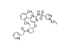 Cc1cccc(C)c1-c1cc(OC2CCN(C(=O)Cc3ccccn3)C2)nc(NS(=O)(=O)c2cnn(C)c2)n1